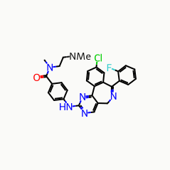 CNCCN(C)C(=O)c1ccc(Nc2ncc3c(n2)-c2ccc(Cl)cc2C(c2ccccc2F)=NC3)cc1